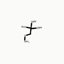 COC(C[O][SbH2])(OC)OC